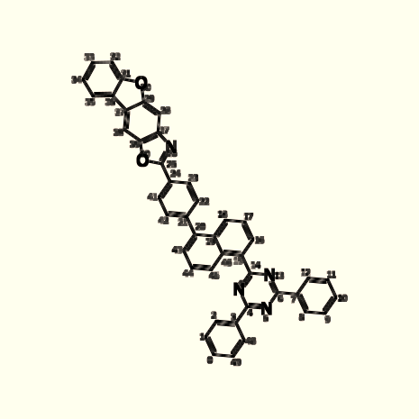 c1ccc(-c2nc(-c3ccccc3)nc(-c3cccc4c(-c5ccc(-c6nc7cc8oc9ccccc9c8cc7o6)cc5)cccc34)n2)cc1